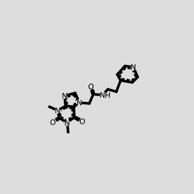 Cn1c(=O)c2c(ncn2CC(=O)NCCc2ccncc2)n(C)c1=O